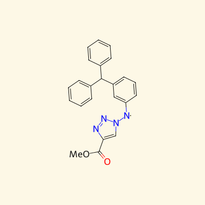 COC(=O)c1cn([N]c2cccc(C(c3ccccc3)c3ccccc3)c2)nn1